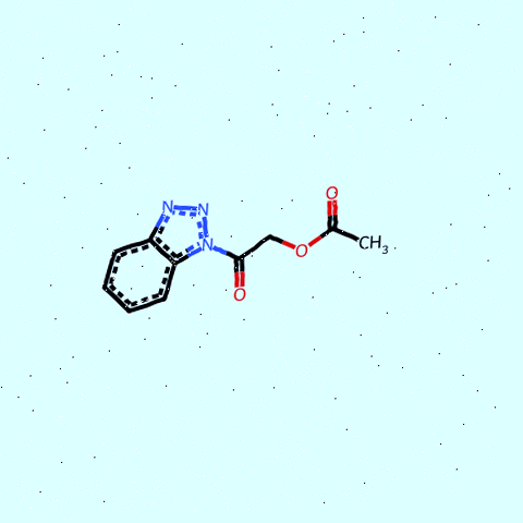 CC(=O)OCC(=O)n1nnc2ccccc21